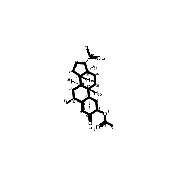 CC(=O)OC1C[C@@]2(C)C(=CC1=O)[C@@H](C)C[C@H]1[C@@H]3CC[C@H](C(C)=O)[C@@]3(C)CC[C@@H]12